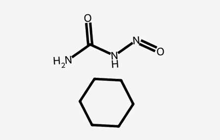 C1CCCCC1.NC(=O)NN=O